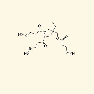 CCC(COC(=O)CCSS)(COC(=O)CCSS)COC(=O)CCSS